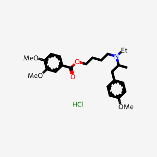 CCN(CCCCOC(=O)c1ccc(OC)c(OC)c1)C(C)Cc1ccc(OC)cc1.Cl